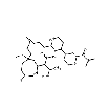 CCCCC1NCCC(N2CCOC(C(=O)N(C)C)C2)C1NC(=O)C(C(N)N)C1CC(CC)(CCCC)CCC(F)/C=N\1